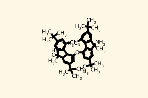 Cc1cc(C(C)(C)C)cc2c1-c1c(OC3=CC(C(C)(C)C)=CC4C3c3c(C)cc(C(C)(C)C)cc3C4(C)C)cc(C(C)(C)C)cc1C2(C)N